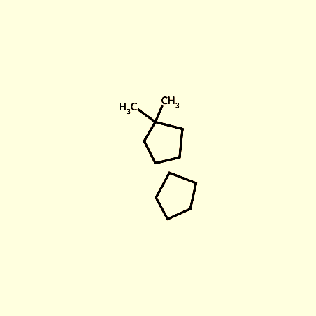 C1CCCC1.CC1(C)CCCC1